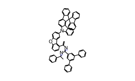 C=C(/N=C(\N=C(/C)c1ccccc1)c1cc(-c2ccccc2)cc(-c2ccccc2)c1)c1cccc2oc3ccc(-n4c5ccccc5c5c6c(ccc54)-c4ccccc4C64c5ccccc5-c5ccccc54)cc3c12